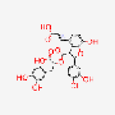 O=C(O)/C=C/c1ccc(O)c2c1C(C(=O)OC(Cc1ccc(O)c(O)c1)C(=O)O)C(c1ccc(O)c(O)c1)O2